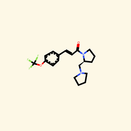 O=C(/C=C/c1ccc(OC(F)(F)F)cc1)N1CCC[C@H]1CN1CCCC1